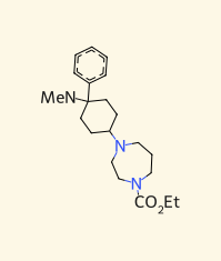 CCOC(=O)N1CCCN(C2CCC(NC)(c3ccccc3)CC2)CC1